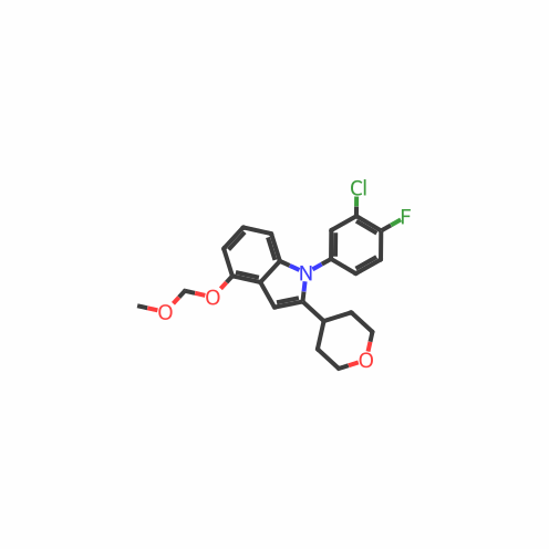 COCOc1cccc2c1cc(C1CCOCC1)n2-c1ccc(F)c(Cl)c1